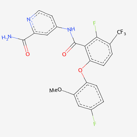 COc1cc(F)ccc1Oc1ccc(C(F)(F)F)c(F)c1C(=O)Nc1ccnc(C(N)=O)c1